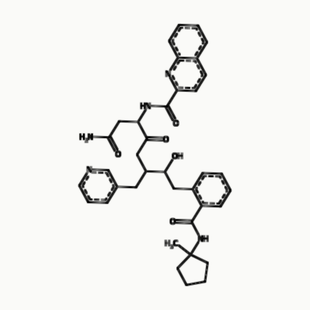 CC1(NC(=O)c2ccccc2CC(O)C(CC(=O)C(CC(N)=O)NC(=O)c2ccc3ccccc3n2)Cc2cccnc2)CCCC1